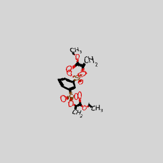 C=C(OS(=O)(=O)c1cccc(S(=O)(=O)OC(=C)C(=O)OCC)c1)C(=O)OCC